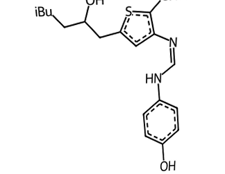 CCC(C)CC(O)Cc1cc(/N=C\Nc2ccc(O)cc2)c(C=O)s1